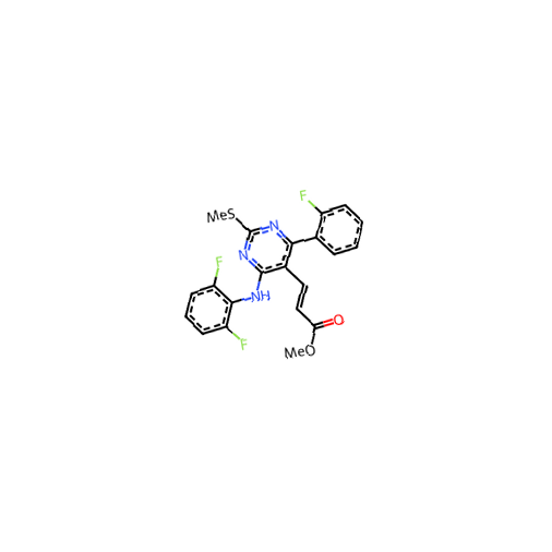 COC(=O)C=Cc1c(Nc2c(F)cccc2F)nc(SC)nc1-c1ccccc1F